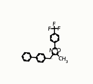 Cc1oc(-c2ccc(C(F)(F)F)cc2)nc1[CH]c1ccc(-c2ccccc2)cc1